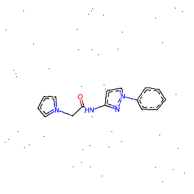 O=C(Cn1cccc1)Nc1ccn(-c2ccccc2)n1